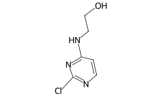 OCCNc1ccnc(Cl)n1